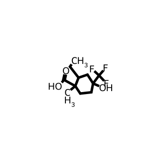 CCC1CC(O)(C(F)(F)F)CCC1(C)C(=O)O